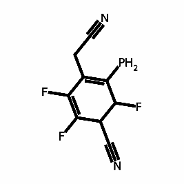 N#CCC1=C(P)C(F)C(C#N)C(F)=C1F